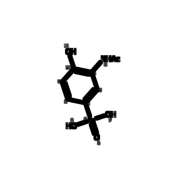 CC(=O)Nc1cc([As](=O)(O)O)ccc1O